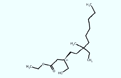 CCCCCCC(C)(CC)CC[C@@H](CO)CC(=O)OCC